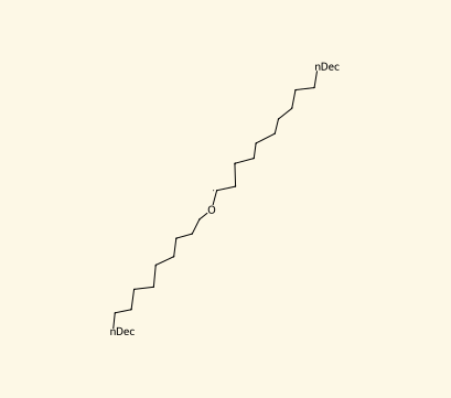 CCCCCCCCCCCCCCCCCCC[CH]OCCCCCCCCCCCCCCCCCCC